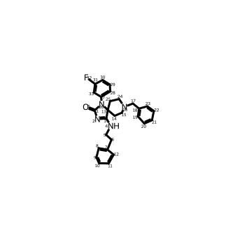 O=C1N=C(NCCc2ccccc2)C2(CCN(Cc3ccccc3)CC2)N1c1cccc(F)c1